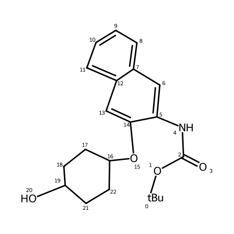 CC(C)(C)OC(=O)Nc1cc2ccccc2cc1OC1CCC(O)CC1